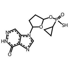 O=c1[nH]ncc2c1ncn2C1CCC(OP(=O)(S)C2CC2)O1